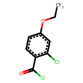 O=C(Cl)c1ccc(OCC(F)(F)F)cc1Cl